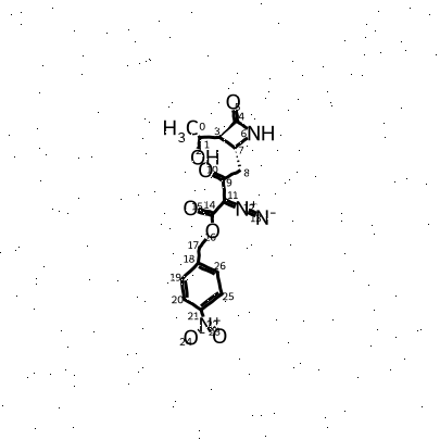 C[C@@H](O)[C@H]1C(=O)N[C@@H]1CC(=O)C(=[N+]=[N-])C(=O)OCc1ccc([N+](=O)[O-])cc1